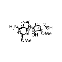 COc1nc(N)c2ncn([C@@H]3O[C@H](CO)C(OC)C3O)c2n1